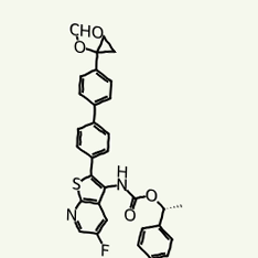 C[C@@H](OC(=O)Nc1c(-c2ccc(-c3ccc(C4(OC=O)CC4)cc3)cc2)sc2ncc(F)cc12)c1ccccc1